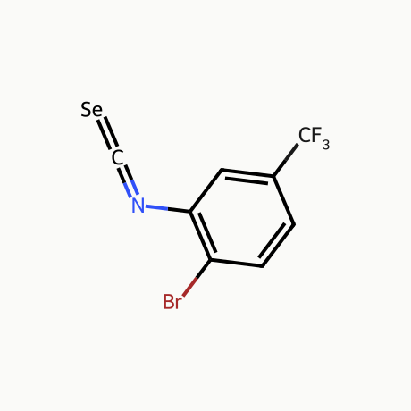 FC(F)(F)c1ccc(Br)c(N=C=[Se])c1